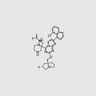 C=C(F)C(=O)N1CCNCC1(CC#N)c1nc(OC[C@@]23CCCN2C[C@H](F)C3)nc2nc(-c3cccc4cccc(Cl)c34)ccc12